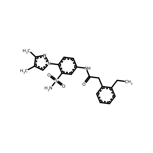 CCc1ccccc1CC(=O)Nc1ccc(-n2cc(C)c(C)n2)c(S(N)(=O)=O)c1